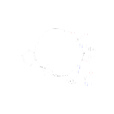 CO[C@@]12C[C@@H](C(N)=O)N(C1)C(=O)[C@H](C(C)(C)C)NC(=O)OCCCCCCc1ccccc1-c1ccc2cc1